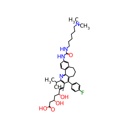 CC(C)c1nc2c(c(-c3ccc(F)cc3)c1/C=C/[C@@H](O)C[C@@H](O)CC(=O)O)CCCc1cc(NC(=O)NCCCCCCN(C)C)ccc1-2